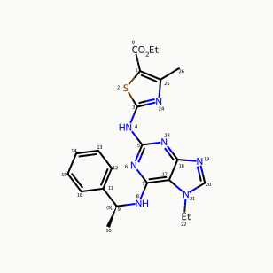 CCOC(=O)c1sc(Nc2nc(N[C@@H](C)c3ccccc3)c3c(ncn3CC)n2)nc1C